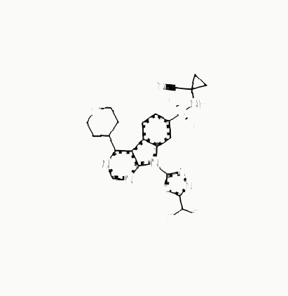 N#CC1(NS(=O)(=O)c2ccc3c4c(C5CCOCC5)ncnc4n(-c4nnc(C(F)F)s4)c3c2)CC1